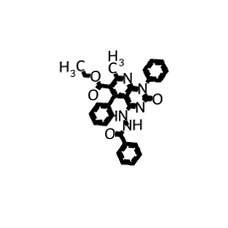 CCOC(=O)c1c(C)nc2c(c(NNC(=O)c3ccccc3)nc(=O)n2-c2ccccc2)c1-c1ccccc1